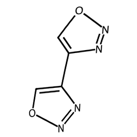 c1onnc1-c1conn1